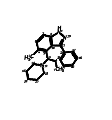 CCC(c1c(C)ccc2[nH]nc(-c3ccccc3)c12)N1CCCCC1